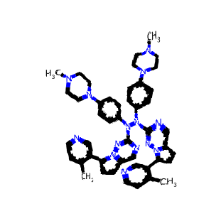 Cc1ccncc1-c1ccc2cnc(N(c3ccc(N4CCN(C)CC4)cc3)N(c3ccc(N4CCN(C)CC4)cc3)c3ncc4ccc(-c5cnccc5C)n4n3)nn12